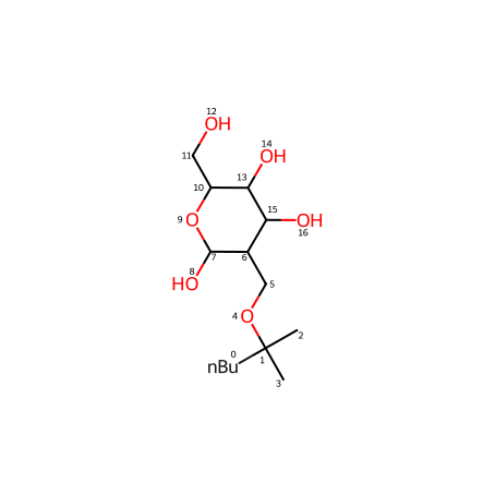 CCCCC(C)(C)OCC1C(O)OC(CO)C(O)C1O